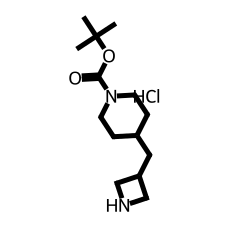 CC(C)(C)OC(=O)N1CCC(CC2CNC2)CC1.Cl